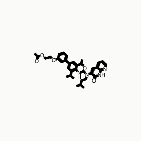 CC(=O)OCCOc1cccc(-c2cc(C(C)C)c(NC(=O)N(CCC(C)C)c3cc4cccnc4[nH]c3=O)c(C(C)C)c2)c1